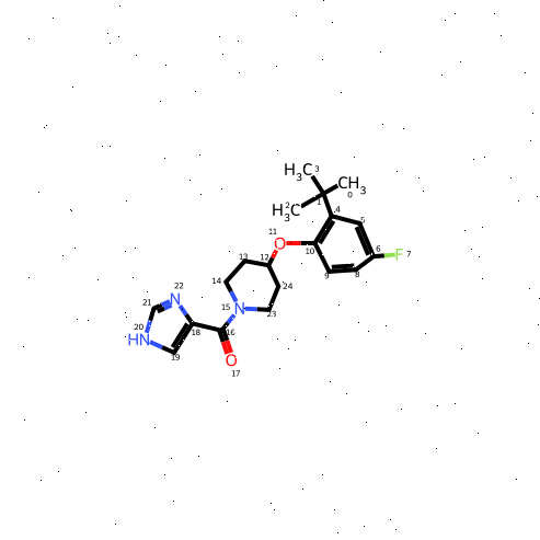 CC(C)(C)c1cc(F)ccc1OC1CCN(C(=O)c2c[nH]cn2)CC1